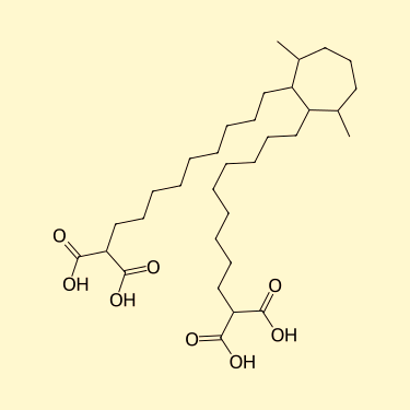 CC1CCCC(C)C(CCCCCCCCCC(C(=O)O)C(=O)O)C1CCCCCCCCCC(C(=O)O)C(=O)O